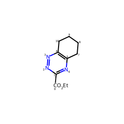 CCOC(=O)c1nnc2c(n1)CCCC2